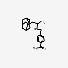 COC(=O)c1ccc(CNC(C)CC23CC4CC(CC(C4)C2)C3)cc1